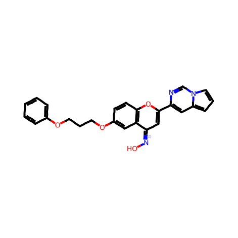 O/N=c1/cc(-c2cc3cccn3cn2)oc2ccc(OCCCOc3ccccc3)cc12